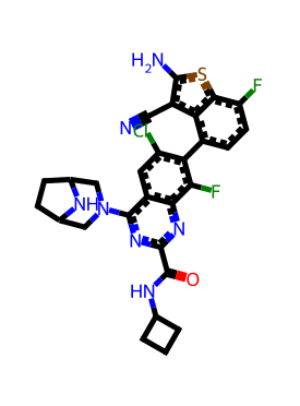 N#Cc1c(N)sc2c(F)ccc(-c3c(Cl)cc4c(N5CC6CCC(C5)N6)nc(C(=O)NC5CCC5)nc4c3F)c12